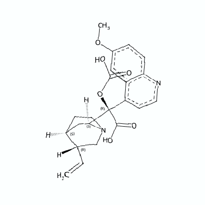 C=C[C@H]1CN2CC[C@H]1C[C@H]2[C@@](OC(=O)O)(C(=O)O)c1ccnc2ccc(OC)cc12